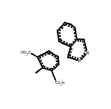 Cc1c(C(=O)O)cccc1C(=O)O.c1ccc2cnncc2c1